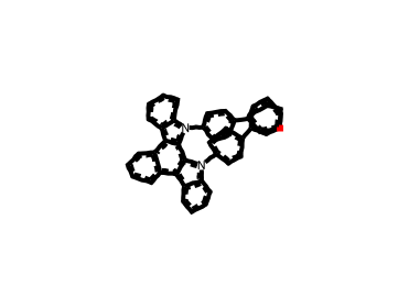 c1ccc(-c2ccc(-n3c4ccccc4c4c5ccccc5c5c6ccccc6n(-c6ccc(C7CCCCC7)cc6)c5c43)cc2)cc1